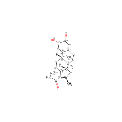 CC(=O)[C@H]1[C@H](C)C[C@H]2[C@@H]3CCC4=CC(=O)C(O)C[C@]4(C)[C@H]3CC[C@@]21C